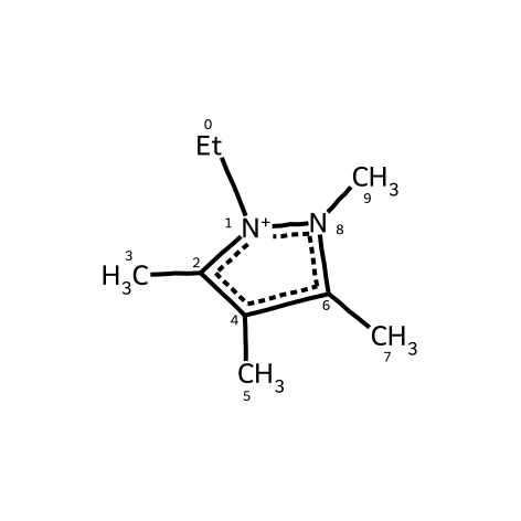 CC[n+]1c(C)c(C)c(C)n1C